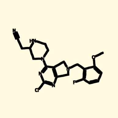 COc1cccc(F)c1CN1Cc2nc(Cl)nc(N3CCNC(CC#N)C3)c2C1